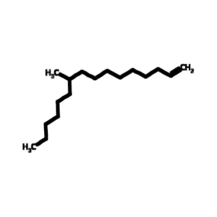 C=CCCCCCCCC(C)CCCCCC